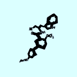 CC(=O)Nc1ccc(-c2ccc(OC(F)(F)F)c(C(=O)NC(CC#N)Cc3c[nH]c4ccccc34)c2)cc1